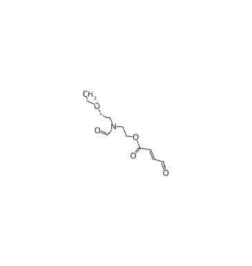 CCOCCN(C=O)CCOC(=O)/C=C/C=O